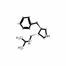 CC(C)NC[C@H]1CNC[C@@H]1Cc1ccccc1